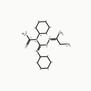 CCC(C)=NOC(=NC1CCCCC1)N(C(C)=O)C1CCCCC1